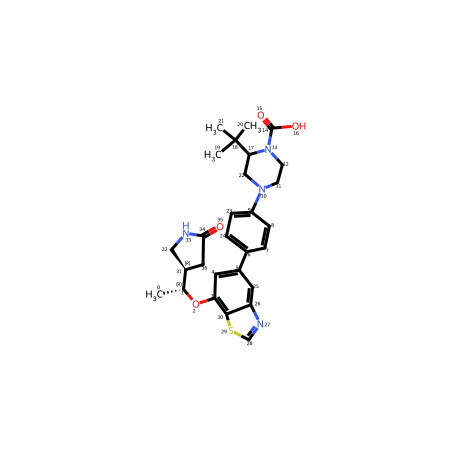 C[C@@H](Oc1cc(-c2ccc(N3CCN(C(=O)O)C(C(C)(C)C)C3)cc2)cc2ncsc12)[C@H]1CNC(=O)C1